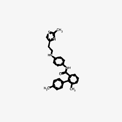 Cc1ccc(-c2c(C)cccc2C(=O)Nc2ccc(NCCc3csc(C)n3)cc2)cc1